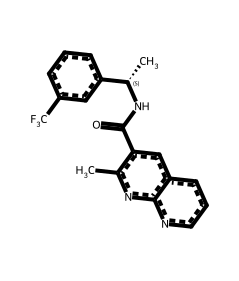 Cc1nc2ncccc2cc1C(=O)N[C@@H](C)c1cccc(C(F)(F)F)c1